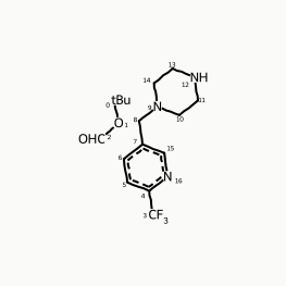 CC(C)(C)OC=O.FC(F)(F)c1ccc(CN2CCNCC2)cn1